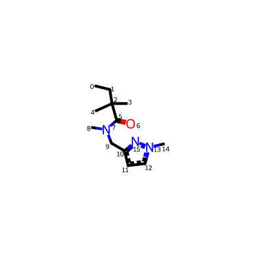 CCC(C)(C)C(=O)N(C)Cc1ccn(C)n1